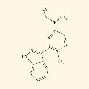 CN(CC#N)c1ccc(C(F)(F)F)c(-c2n[nH]c3ncccc23)n1